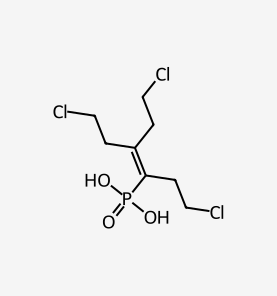 O=P(O)(O)C(CCCl)=C(CCCl)CCCl